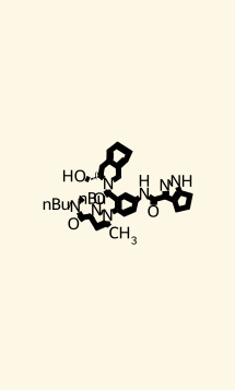 CCCCN(CCCC)C(=O)c1cc(C)n(-c2ccc(NC(=O)c3n[nH]c4c3CCC4)cc2C(=O)N2Cc3ccccc3C[C@H]2CO)n1